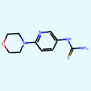 NC(=S)Nc1ccc(N2CCOCC2)nc1